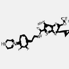 CNc1c(C(=O)NCCc2ccc(N3CCNCC3)c(F)c2F)sc2nc(C3CC3)c(OC(F)(F)F)nc12